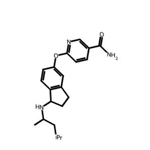 CC(C)CC(C)NC1CCc2cc(Oc3ccc(C(N)=O)cn3)ccc21